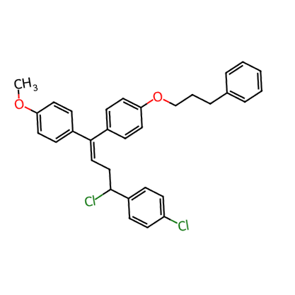 COc1ccc(C(=CCC(Cl)c2ccc(Cl)cc2)c2ccc(OCCCc3ccccc3)cc2)cc1